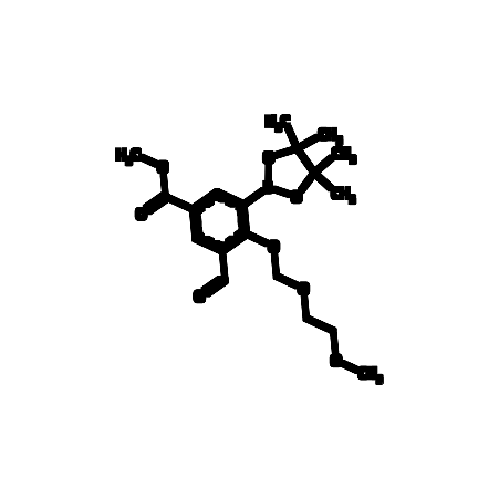 COCCOCOc1c(C=O)cc(C(=O)OC)cc1B1OC(C)(C)C(C)(C)O1